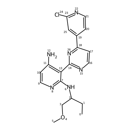 CCC(COC)Nc1nccc(N)c1-c1nccc(-c2ccnc(Cl)c2)n1